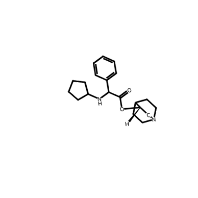 O=C(O[C@H]1CN2CCC1CC2)C(NC1CCCC1)c1ccccc1